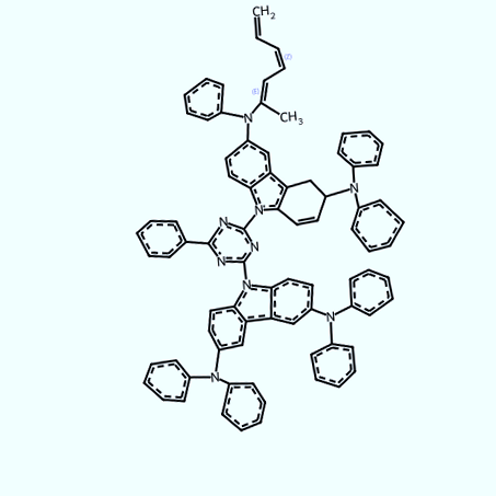 C=C/C=C\C=C(/C)N(c1ccccc1)c1ccc2c(c1)c1c(n2-c2nc(-c3ccccc3)nc(-n3c4ccc(N(c5ccccc5)c5ccccc5)cc4c4cc(N(c5ccccc5)c5ccccc5)ccc43)n2)C=CC(N(c2ccccc2)c2ccccc2)C1